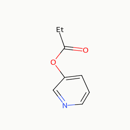 CCC(=O)Oc1cccnc1